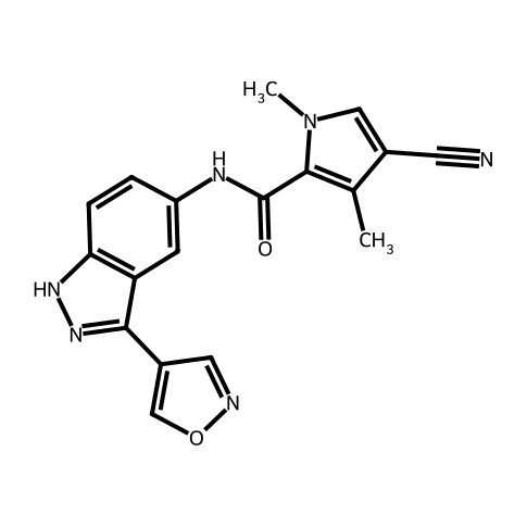 Cc1c(C#N)cn(C)c1C(=O)Nc1ccc2[nH]nc(-c3cnoc3)c2c1